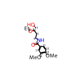 CCO[C@H](CO)CCNC(=O)c1ccc(OC)c(OC)c1